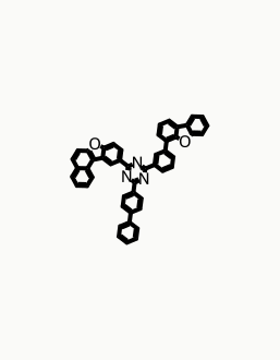 c1ccc(-c2ccc(-c3nc(-c4cccc(-c5cccc6c5oc5ccccc56)c4)nc(-c4ccc5oc6ccc7ccccc7c6c5c4)n3)cc2)cc1